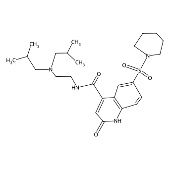 CC(C)CN(CCNC(=O)c1cc(=O)[nH]c2ccc(S(=O)(=O)N3CCCCC3)cc12)CC(C)C